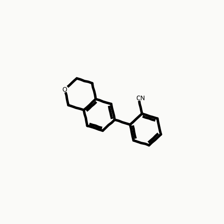 N#Cc1ccccc1-c1ccc2c(c1)CCOC2